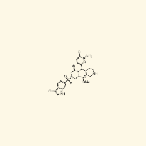 COC(=O)C1CN(S(=O)(=O)c2ccc3c(Cl)c[nH]c3c2)CC(=O)N1C(c1ccc(=O)n(C)n1)C1CCNCC1